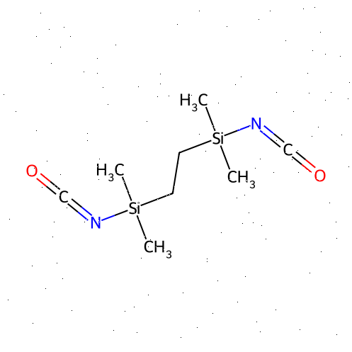 C[Si](C)(CC[Si](C)(C)N=C=O)N=C=O